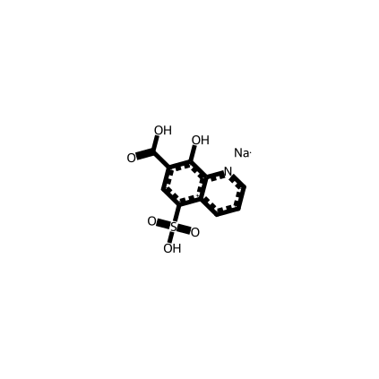 O=C(O)c1cc(S(=O)(=O)O)c2cccnc2c1O.[Na]